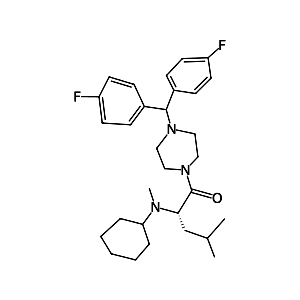 CC(C)C[C@@H](C(=O)N1CCN(C(c2ccc(F)cc2)c2ccc(F)cc2)CC1)N(C)C1CCCCC1